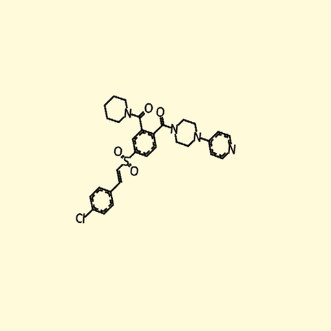 O=C(c1cc(S(=O)(=O)C=Cc2ccc(Cl)cc2)ccc1C(=O)N1CCN(c2ccncc2)CC1)N1CCCCC1